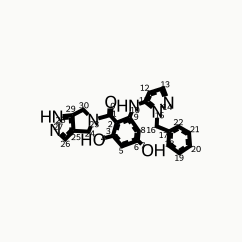 O=C(c1c(O)cc(O)cc1Nc1ccnn1Cc1ccccc1)N1Cc2cn[nH]c2C1